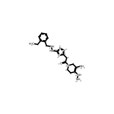 CCc1ccccc1CNBc1nnc(CC(=O)N2CCC(NN)=C(N)C2)o1